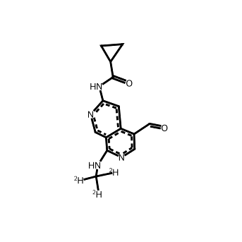 [2H]C([2H])([2H])Nc1ncc(C=O)c2cc(NC(=O)C3CC3)ncc12